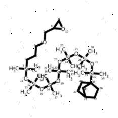 C[Si](C)(CCCOCC1CO1)O[Si](C)(C)O[Si](C)(C)O[Si](C)(C)O[Si](C)(C)O[Si](C)(C)O[Si](C)(C)C12CCC(CC1)C2